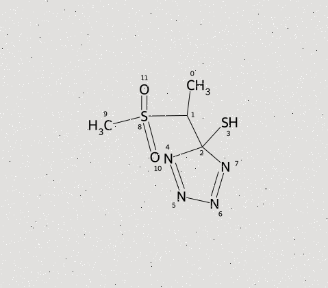 CC(C1(S)N=NN=N1)S(C)(=O)=O